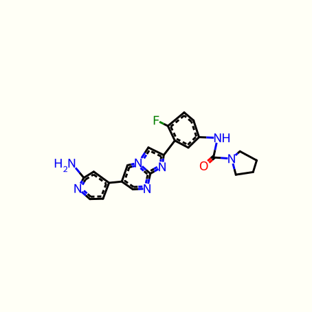 Nc1cc(-c2cnc3nc(-c4cc(NC(=O)N5CCCC5)ccc4F)cn3c2)ccn1